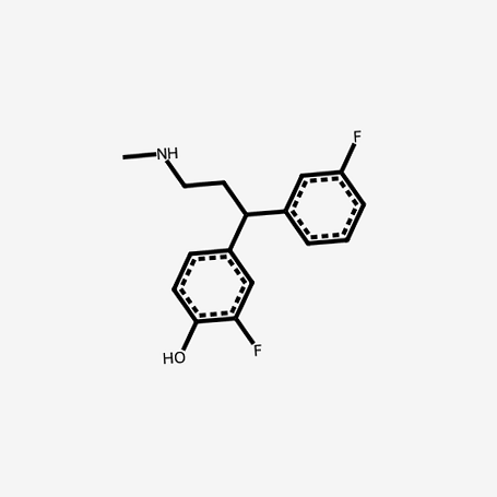 CNCCC(c1cccc(F)c1)c1ccc(O)c(F)c1